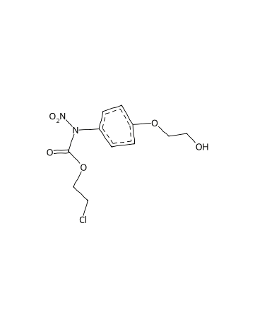 O=C(OCCCl)N(c1ccc(OCCO)cc1)[N+](=O)[O-]